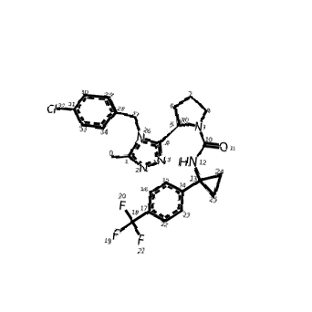 Cc1nnc([C@H]2CCCN2C(=O)NC2(c3ccc(C(F)(F)F)cc3)CC2)n1Cc1ccc(Cl)cc1